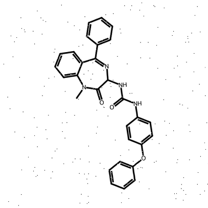 CN1C(=O)C(NC(=O)Nc2ccc(Oc3ccccc3)cc2)N=C(c2ccccc2)c2ccccc21